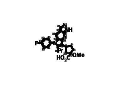 CO[C@@]1(C(=O)O)CCC(c2c(C(C)C)n(-c3ccc(F)cc3)c3cc4cn[nH]c4nc23)C1